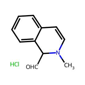 CN1C=Cc2ccccc2C1C=O.Cl